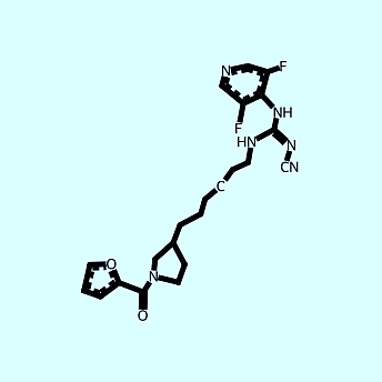 N#CN=C(NCCCCCCC1CCN(C(=O)c2ccco2)C1)Nc1c(F)cncc1F